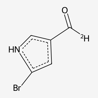 [2H]C(=O)c1c[nH]c(Br)c1